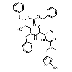 CC(C)c1nc(CN(C)C(=O)N[C@H](C(=O)NN(Cc2ccccc2)C[C@H](O)[C@H](Cc2ccccc2)NC(=O)OCc2ccccc2)C(C)C)cs1